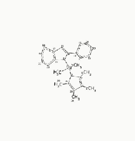 CC1=C(C)C([Si](C)(C)C2C(c3ccccc3)=Cc3ccccc32)C(C)=C1C